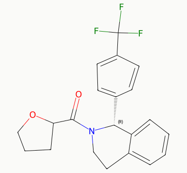 O=C(C1CCCO1)N1CCc2ccccc2[C@H]1c1ccc(C(F)(F)F)cc1